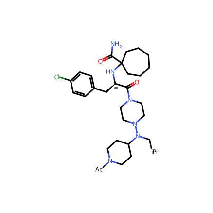 CC(=O)N1CCC(N(CC(C)C)N2CCN(C(=O)[C@@H](Cc3ccc(Cl)cc3)NC3(C(N)=O)CCCCCC3)CC2)CC1